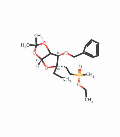 CCOP(C)(=O)CC[C@]1(CC)O[C@@H]2OC(C)(C)OC2[C@H]1OCc1ccccc1